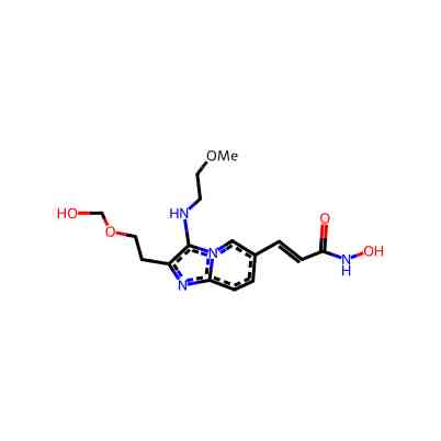 COCCNc1c(CCOCO)nc2ccc(/C=C/C(=O)NO)cn12